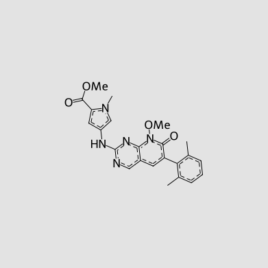 COC(=O)c1cc(Nc2ncc3cc(-c4c(C)cccc4C)c(=O)n(OC)c3n2)cn1C